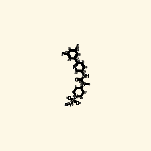 CCCS(=O)(=O)N1CCC(N(C)C(=O)Nc2ccc(-c3cc(F)cc(F)c3)nc2)CC1